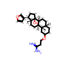 C[C@]12CC(OCCC(=N)N)CC[C@H]1CC[C@@H]1[C@@H]2CC[C@]2(C)[C@@H](c3ccoc3)CC[C@]12O